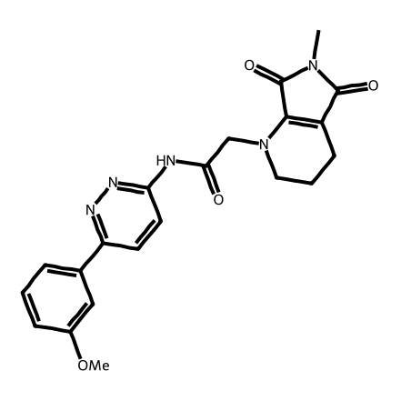 COc1cccc(-c2ccc(NC(=O)CN3CCCC4=C3C(=O)N(C)C4=O)nn2)c1